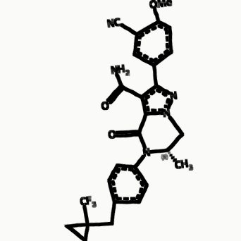 COc1ccc(-c2nn3c(c2C(N)=O)C(=O)N(c2ccc(CC4(C(F)(F)F)CC4)cc2)[C@@H](C)C3)cc1C#N